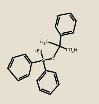 CC(O[Si](c1ccccc1)(c1ccccc1)C(C)(C)C)(C(=O)O)c1ccccc1